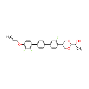 C=CCOc1ccc(-c2ccc(-c3ccc(C4COC(C(C)O)OC4)c(F)c3)cc2)c(F)c1F